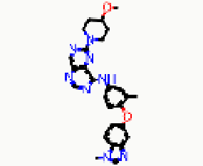 COC1CCN(c2ncc3ncnc(Nc4ccc(Oc5ccc6c(c5)ncn6C)c(C)c4)c3n2)CC1